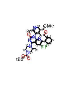 COCOCc1cccc(F)c1-c1nc2c(cc1F)c(N1CCN(C(=O)OC(C)(C)C)C[C@@H]1C)nc(=O)n2-c1c(C)ccnc1C(C)C